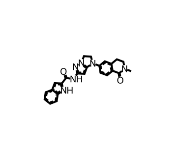 CN1CCc2cc(N3CCn4nc(NC(=O)c5cc6ccccc6[nH]5)cc43)ccc2C1=O